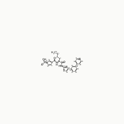 CSCC[C@H](NC(=O)c1ccn([S+](C)[O-])c1)C(=O)Nc1nc(-c2cccc(-c3ccncc3)c2)cs1